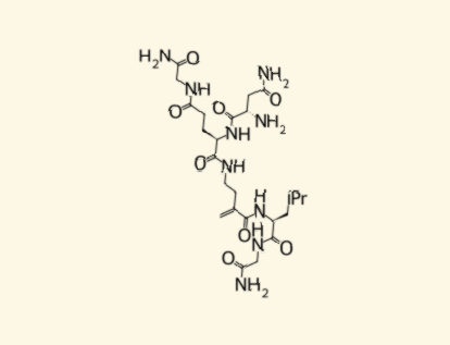 C=C(CCNC(=O)[C@@H](CCC(=O)NCC(N)=O)NC(=O)[C@@H](N)CC(N)=O)C(=O)N[C@@H](CC(C)C)C(=O)NCC(N)=O